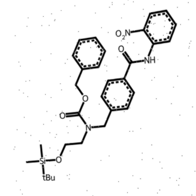 CC(C)(C)[Si](C)(C)OCCN(Cc1ccc(C(=O)Nc2ccccc2[N+](=O)[O-])cc1)C(=O)OCc1ccccc1